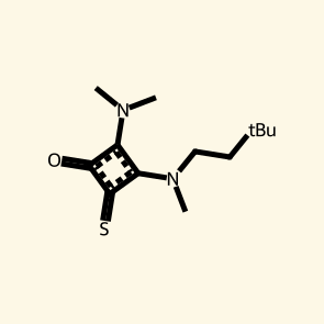 CN(C)c1c(N(C)CCC(C)(C)C)c(=S)c1=O